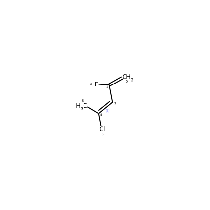 C=C(F)/C=C(\C)Cl